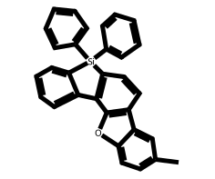 Cc1ccc2oc3c4c(ccc3c2c1)[Si](c1ccccc1)(c1ccccc1)c1ccccc1-4